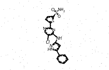 NS(=O)(=O)c1ccc(-c2ncc(Cl)c(Nc3cc(-c4ccccc4)[nH]n3)n2)s1